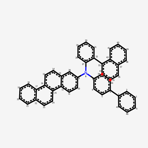 c1ccc(-c2ccc(N(c3ccc4c(ccc5c6ccccc6ccc45)c3)c3ccccc3-c3cccc4ccccc34)cc2)cc1